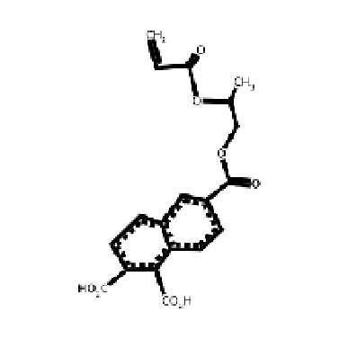 C=CC(=O)OC(C)COC(=O)c1ccc2c(C(=O)O)c(C(=O)O)ccc2c1